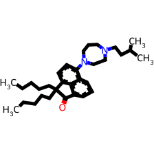 CCCCCC1(CCCCC)C(=O)c2cccc3c(N4CCCN(CCC(C)C)CC4)ccc1c23